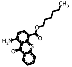 CCCCCCOC(=O)c1ccc(N)c2c(=O)c3ccccc3sc12